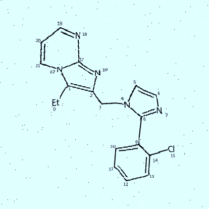 CCc1c(Cn2ccnc2-c2ccccc2Cl)nc2ncccn12